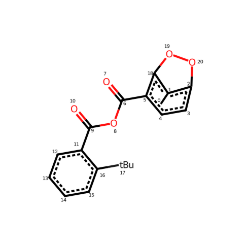 Cc1c2ccc(C(=O)OC(=O)c3ccccc3C(C)(C)C)c1OO2